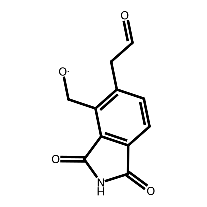 [O]Cc1c(CC=O)ccc2c1C(=O)NC2=O